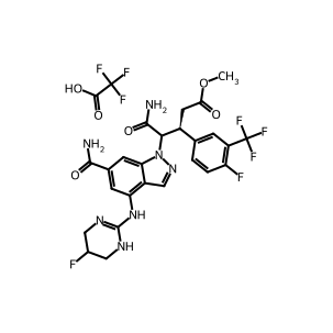 COC(=O)C[C@@H](c1ccc(F)c(C(F)(F)F)c1)C(C(N)=O)n1ncc2c(NC3=NCC(F)CN3)cc(C(N)=O)cc21.O=C(O)C(F)(F)F